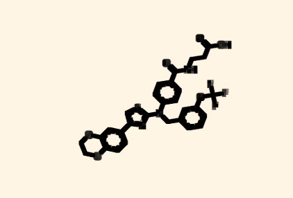 O=C(O)CCNC(=O)c1ccc(N(Cc2cccc(OC(F)(F)F)c2)c2nc(-c3ccc4c(c3)OCCO4)cs2)cc1